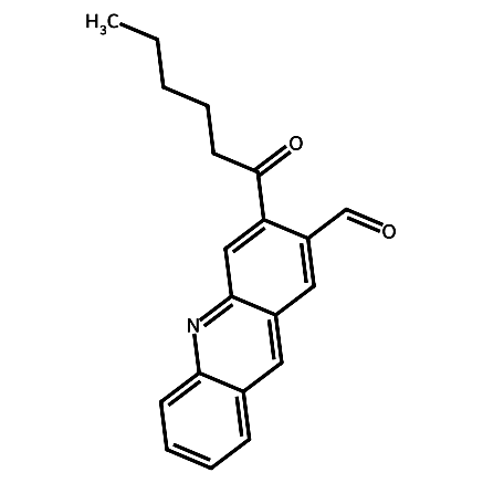 CCCCCC(=O)c1cc2nc3ccccc3cc2cc1C=O